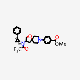 COC(=O)c1ccc(N2CCC3(CC2)CC(N(C(=O)C(F)(F)F)[C@@H]2C[C@H]2c2ccccc2)CO3)cc1